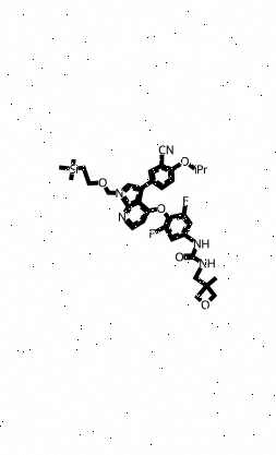 CC(C)Oc1ccc(-c2cn(COCC[Si](C)(C)C)c3nccc(Oc4c(F)cc(NC(=O)NCC5(C)COC5)cc4F)c23)cc1C#N